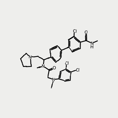 CNC(=O)c1ccc(-c2ccc(C(CN3CCCC3)N(C)C(=O)CN(C)c3ccc(Cl)c(Cl)c3)cc2)cc1Cl